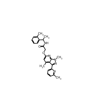 Cc1cccc(-c2nn(C)c3nc(OCC(=O)NC(C)c4ccccc4C)cc(C)c23)n1